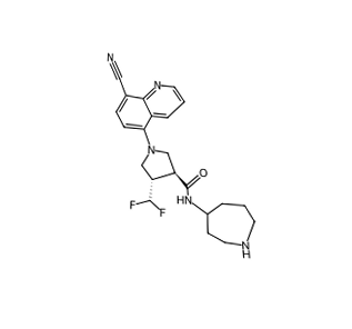 N#Cc1ccc(N2C[C@@H](C(=O)NC3CCCNCC3)[C@H](C(F)F)C2)c2cccnc12